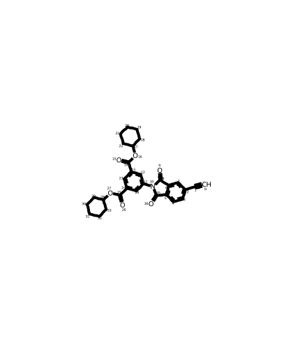 C#Cc1ccc2c(c1)C(=O)N(c1cc(C(=O)OC3CCCCC3)cc(C(=O)OC3CCCCC3)c1)C2=O